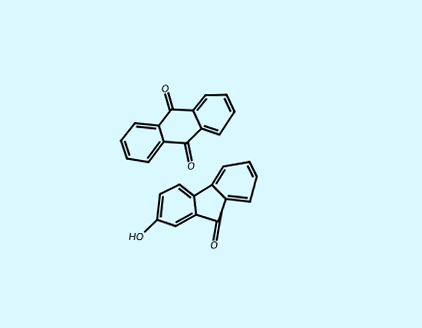 O=C1c2ccccc2-c2ccc(O)cc21.O=C1c2ccccc2C(=O)c2ccccc21